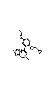 CCSc1ccc(OCC2CC2)c(C2=CN(C)Cc3cncn32)c1